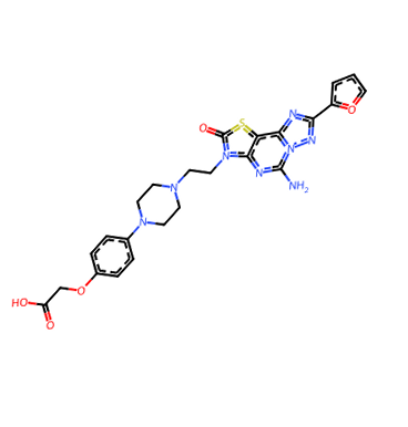 Nc1nc2c(sc(=O)n2CCN2CCN(c3ccc(OCC(=O)O)cc3)CC2)c2nc(-c3ccco3)nn12